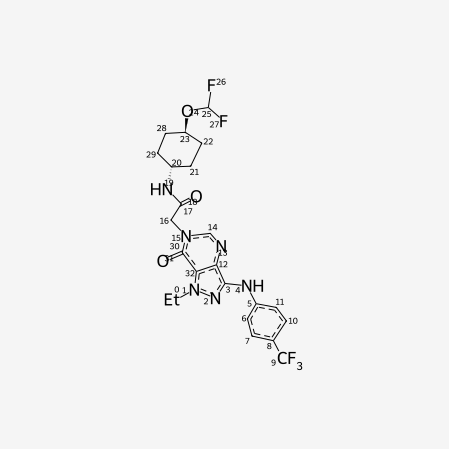 CCn1nc(Nc2ccc(C(F)(F)F)cc2)c2ncn(CC(=O)N[C@H]3CC[C@H](OC(F)F)CC3)c(=O)c21